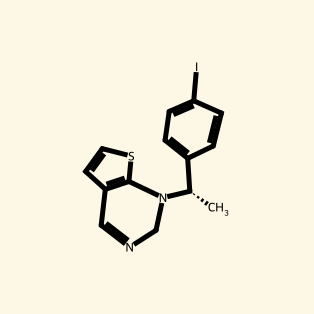 C[C@@H](c1ccc(I)cc1)N1CN=Cc2ccsc21